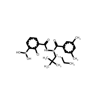 CCC[C@@H](N(NC(=O)c1cccc(B(O)O)c1Cl)C(=O)c1cc(C)cc(C)c1)C(C)(C)C